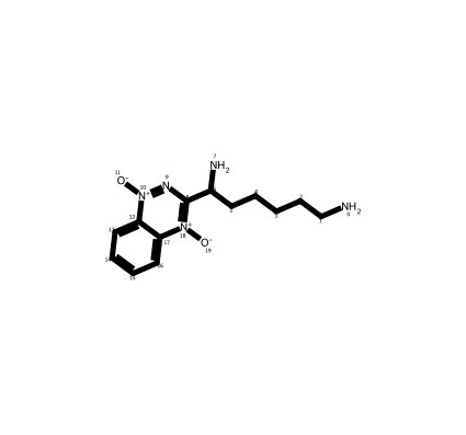 NCCCCCC(N)c1n[n+]([O-])c2ccccc2[n+]1[O-]